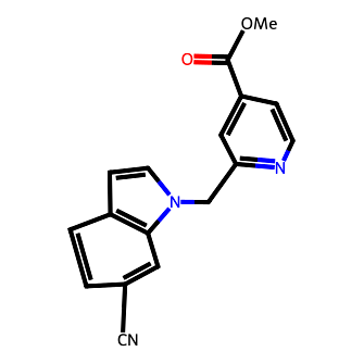 COC(=O)c1ccnc(Cn2ccc3ccc(C#N)cc32)c1